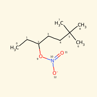 CCC(CCC(C)(C)C)O[N+](=O)[O-]